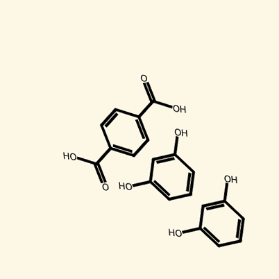 O=C(O)c1ccc(C(=O)O)cc1.Oc1cccc(O)c1.Oc1cccc(O)c1